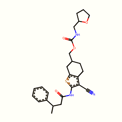 CC(CC(=O)Nc1sc2c(c1C#N)CCC(COC(=O)NCC1CCCO1)C2)c1ccccc1